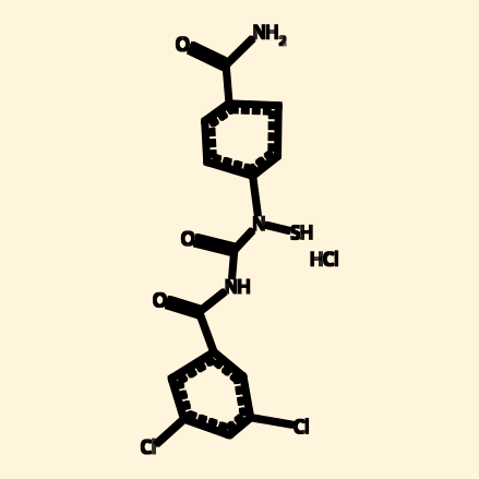 Cl.NC(=O)c1ccc(N(S)C(=O)NC(=O)c2cc(Cl)cc(Cl)c2)cc1